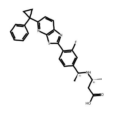 C[C@H](CC(=O)O)N[C@@H](C)c1ccc(-c2nc3ccc(C4(c5ccccc5)CC4)nc3s2)c(F)c1